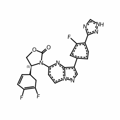 O=C1OC[C@H](C2C=CC(F)=C(F)C2)N1c1ccn2ncc(-c3ccc(-c4nc[nH]n4)c(F)c3)c2n1